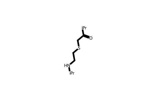 CC(C)NCCSCC(=O)C(C)C